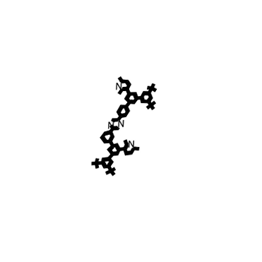 Cc1ccc(-c2cc(-c3ccc(-c4cnc(-c5cccc(-c6cc(-c7cc(C(C)(C)C)cc(C(C)(C)C)c7)cc(-c7ccc(C)nc7C)c6)c5)cn4)cc3)cc(-c3cc(C(C)(C)C)cc(C(C)(C)C)c3)c2)c(C)n1